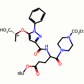 CCOC(=O)N1CCN(C(=O)C(CCC(=O)OC(C)(C)C)NC(=O)c2cc(O[C@H](C)C(=O)O)n(-c3ccccc3)n2)CC1